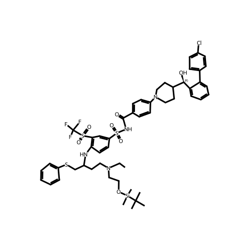 CCN(CCO[Si](C)(C)C(C)(C)C)CCC(CSc1ccccc1)Nc1ccc(S(=O)(=O)NC(=O)c2ccc(N3CCC([C@@H](O)c4ccccc4-c4ccc(Cl)cc4)CC3)cc2)cc1S(=O)(=O)C(F)(F)F